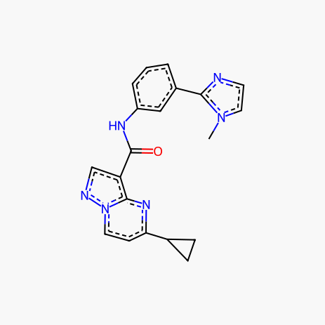 Cn1ccnc1-c1cccc(NC(=O)c2cnn3ccc(C4CC4)nc23)c1